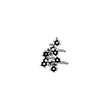 COc1ccc(OC)c(N(CC(=O)Nc2ccnc(F)c2)S(=O)(=O)c2cccc(C3Cc4ccccc4N(C(=O)CN(c4cc(OC)ccc4OC)S(=O)(=O)c4ccccc4)C3)c2)c1